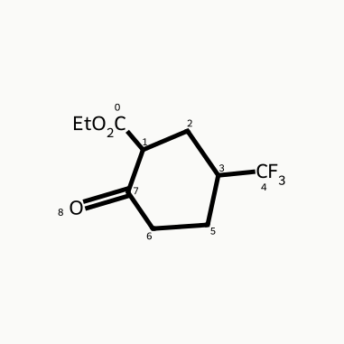 CCOC(=O)C1CC(C(F)(F)F)CCC1=O